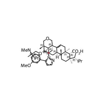 CN[C@@](C)(CO[C@H]1[C@H](n2nccc2-c2cccc(OC)c2)C[C@@]23COC[C@]1(C)[C@@H]2CC[C@H]1C3=CC[C@@]2(C)[C@H](C(=O)O)[C@@](C)([C@H](C)C(C)C)CC[C@]12C)C(C)C